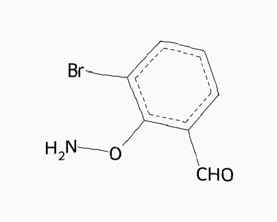 NOc1c(Br)cccc1C=O